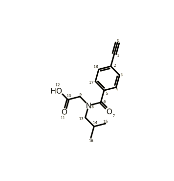 [C]#Cc1ccc(C(=O)N(CC(=O)O)CC(C)C)cc1